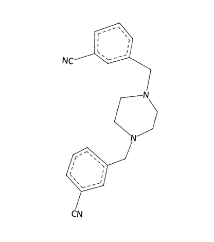 N#Cc1cccc(CN2CCN(Cc3cccc(C#N)c3)CC2)c1